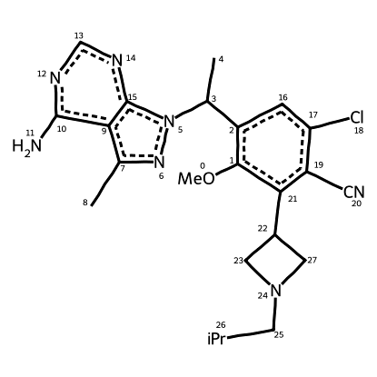 COc1c(C(C)n2nc(C)c3c(N)ncnc32)cc(Cl)c(C#N)c1C1CN(CC(C)C)C1